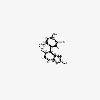 Cc1nc2c(-c3cc(C)c(C)cc3Cl)c(C)ccc2s1